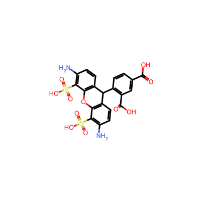 Nc1ccc2c(c1S(=O)(=O)O)Oc1c(ccc(N)c1S(=O)(=O)O)C2c1ccc(C(=O)O)cc1C(=O)O